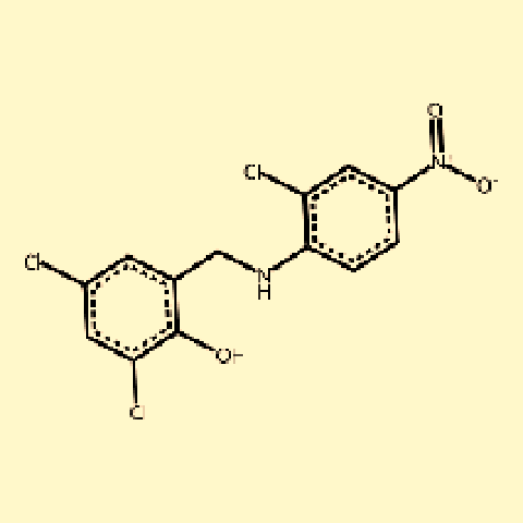 O=[N+]([O-])c1ccc(NCc2cc(Cl)cc(Cl)c2O)c(Cl)c1